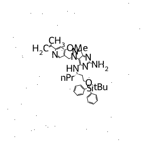 C=C(C)c1cc(OC)c(Cn2ncc3nc(N)nc(N[C@@H](CCC)CCO[Si](c4ccccc4)(c4ccccc4)C(C)(C)C)c32)cn1